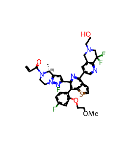 C=CC(=O)N1CCn2nc(-c3nc(-c4cnc5c(c4)CN(CCO)CC5(F)F)c4ccsc4c3-c3c(F)cc(F)cc3OCCOC)cc2[C@H]1C